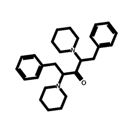 O=C(C(Cc1ccccc1)N1CCCCC1)C(Cc1ccccc1)N1CCCCC1